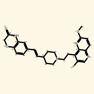 COc1ccc2ncc(F)c(CCN3CCC(C=Cc4ccc5c(c4)NC(=O)CO5)CC3)c2n1